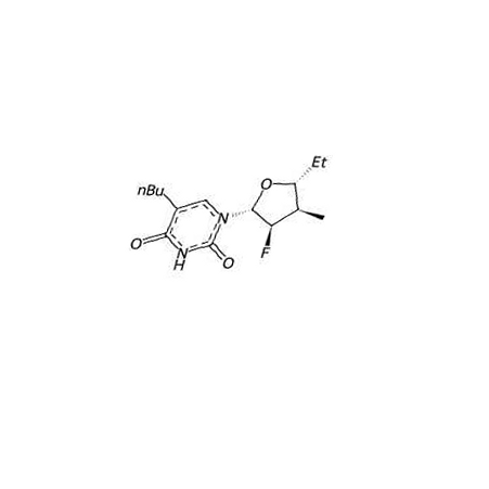 CCCCc1cn([C@@H]2O[C@H](CC)[C@@H](C)[C@H]2F)c(=O)[nH]c1=O